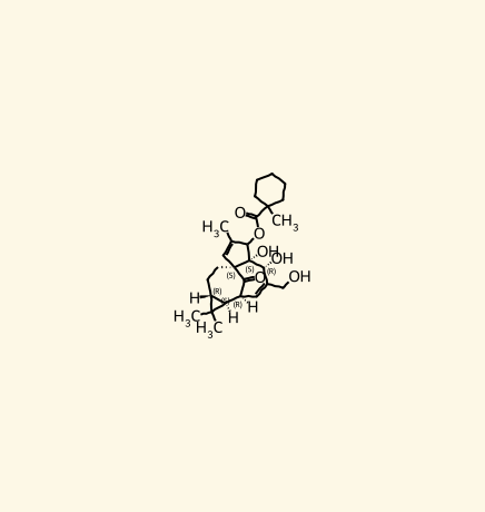 CC1=C[C@@]23CC[C@@H]4[C@@H]([C@H](C=C(CO)[C@@H](O)[C@]2(O)C1OC(=O)C1(C)CCCCC1)C3=O)C4(C)C